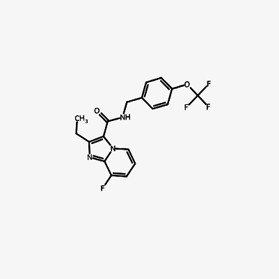 CCc1nc2c(F)cccn2c1C(=O)NCc1ccc(OC(F)(F)F)cc1